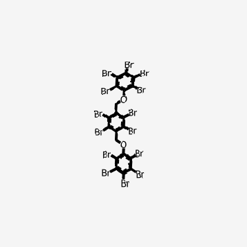 Brc1c(Br)c(Br)c(OCc2c(Br)c(Br)c(COc3c(Br)c(Br)c(Br)c(Br)c3Br)c(Br)c2Br)c(Br)c1Br